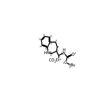 CCOC(=O)C(NC(=O)OC(C)(C)C)C1CCc2ccccc2NC1